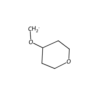 [CH2]OC1CCOCC1